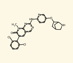 Cn1c(=O)c(-c2c(Cl)cccc2Cl)cc2cnc(Nc3ccc(OC4CC5CNC4C5)cn3)nc21